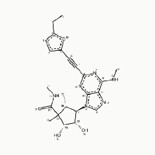 CCc1ccc(C#Cc2nc(NC)c3ncn([C@H]4[C@H](O)[C@H](O)C(C)(C(=O)NC)[C@@H]4C)c3n2)o1